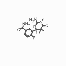 CN1C(=O)C(C)(C)[C@@](C)(c2cc(C(N)=O)ccc2F)N=C1N